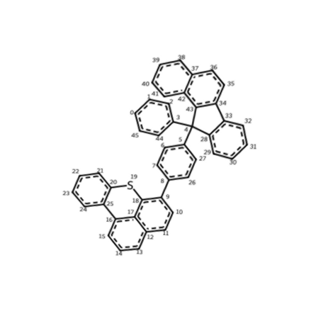 c1ccc(C2(c3ccc(-c4ccc5cccc6c5c4Sc4ccccc4-6)cc3)c3ccccc3-c3ccc4ccccc4c32)cc1